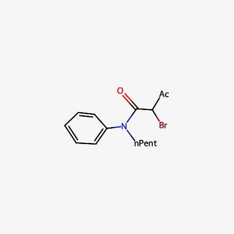 CCCCCN(C(=O)C(Br)C(C)=O)c1ccccc1